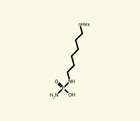 CCCCCCCCCCCCNP(N)(=O)O